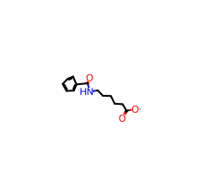 [O]C(=O)CCCCCNC(=O)c1ccccc1